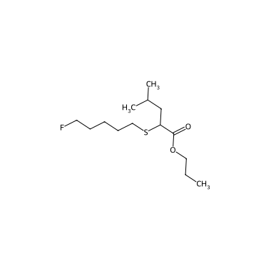 CCCOC(=O)C(CC(C)C)SCCCCCF